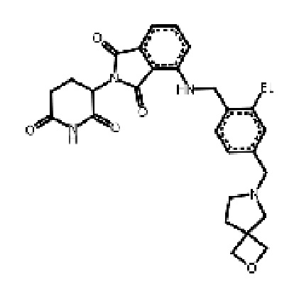 CCc1cc(CN2CCC3(COC3)C2)ccc1CNc1cccc2c1C(=O)N(C1CCC(=O)NC1=O)C2=O